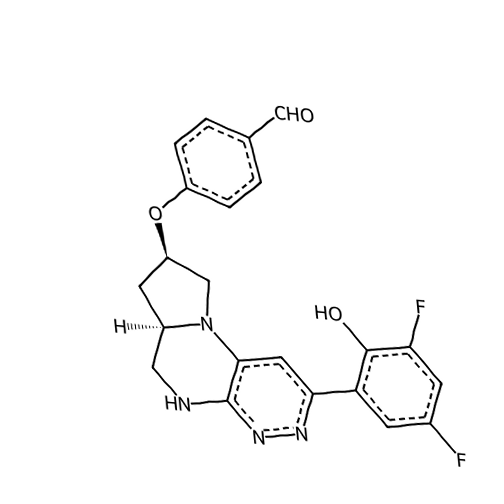 O=Cc1ccc(O[C@@H]2C[C@@H]3CNc4nnc(-c5cc(F)cc(F)c5O)cc4N3C2)cc1